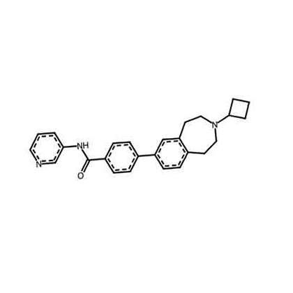 O=C(Nc1cccnc1)c1ccc(-c2ccc3c(c2)CCN(C2CCC2)CC3)cc1